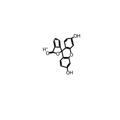 O=C1OC2(c3ccc(O)cc3Oc3cc(O)ccc32)c2ccccc21.[H+]